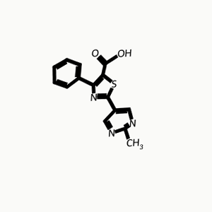 Cc1ncc(-c2nc(-c3ccccc3)c(C(=O)O)s2)cn1